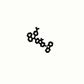 C=C(C)c1ccc(C(c2ccc3c(c2)C(C)(C)c2cc(-n4c5ccccc5c5ccccc54)ccc2-3)c2cccc3ccccc23)cc1